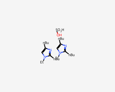 CCCCc1cn(CC)c(CCCC)n1.CCCCc1cn(CC)c(CCCC)n1.O=S(=O)(O)O